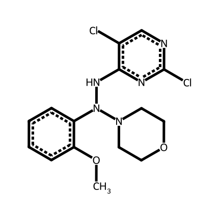 COc1ccccc1N(Nc1nc(Cl)ncc1Cl)N1CCOCC1